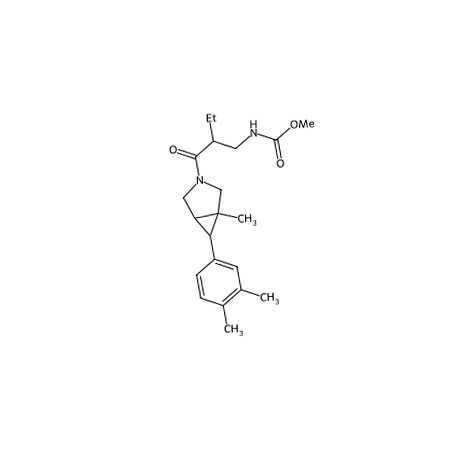 CCC(CNC(=O)OC)C(=O)N1CC2C(c3ccc(C)c(C)c3)C2(C)C1